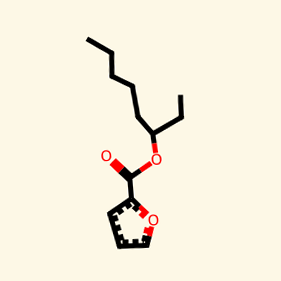 CCCCCC(CC)OC(=O)c1ccco1